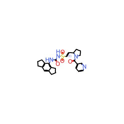 O=C(Nc1c2c(cc3c1CCC3)CCC2)NS(=O)(=O)/C=C/C1CCCN1C(=O)c1cccnc1